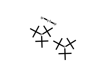 CC(C)(C)P(C(C)(C)C)C(C)(C)C.CC(C)(C)P(C(C)(C)C)C(C)(C)C.[Br][Pd][Br]